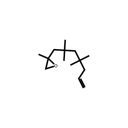 C=CCC(C)(C)CC(C)(C)CC1(C)CO1